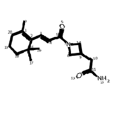 CC1=C(C=CC(=O)N2CC(CC(N)=O)C2)C(C)(C)CCC1